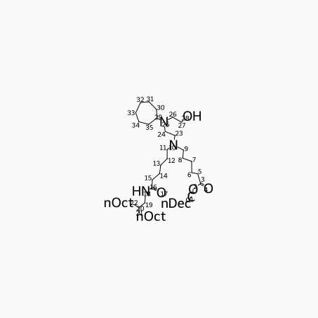 CCCCCCCCCCCOC(=O)CCCCCN(CCCCCC(=O)NCC(CCCCCCCC)CCCCCCCC)CCN(CCO)C1CCCCCC1